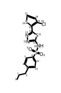 CCCc1ccc(S(=O)(=O)Nc2nnc(-c3sccc3Cl)s2)cc1